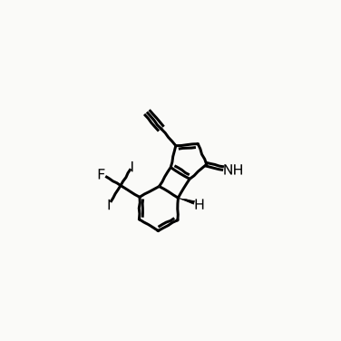 C#CC1=CC(=N)C2=C1C1C(C(F)(I)I)=CC=C[C@@H]21